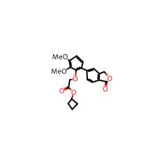 COc1ccc(-c2ccc3c(c2)COC3=O)c(OCC(=O)OC2CCC2)c1OC